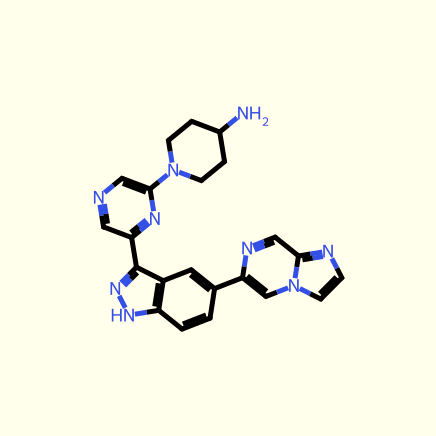 NC1CCN(c2cncc(-c3n[nH]c4ccc(-c5cn6ccnc6cn5)cc34)n2)CC1